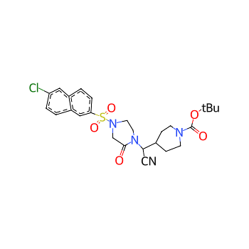 CC(C)(C)OC(=O)N1CCC(C(C#N)N2CCN(S(=O)(=O)c3ccc4cc(Cl)ccc4c3)CC2=O)CC1